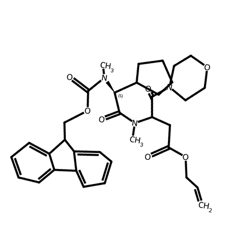 C=CCOC(=O)CC(C(=O)N1CCOCC1)N(C)C(=O)[C@H](C1CCCC1)N(C)C(=O)OCC1c2ccccc2-c2ccccc21